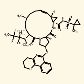 C[C@H]1CCC=C[C@@H]2C[C@@]2(C(=O)NS(=O)(=O)C2(C)CC2)NC(=O)[C@@H]2C[C@@H](Oc3nc4c(c5ccccc35)OCCC4)CN2C(=O)[C@@H](N(C(=O)O)C(C)(C)C(C)(F)F)[C@H](C)C1